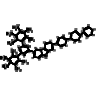 Bc1c(B)c(B)c(-c2nc(-c3ccc4oc5cc(-c6ccc(-c7ccc(-c8ccccc8)cc7)cc6)ccc5c4c3)nc(-c3c(B)c(B)c(B)c(B)c3B)n2)c(B)c1B